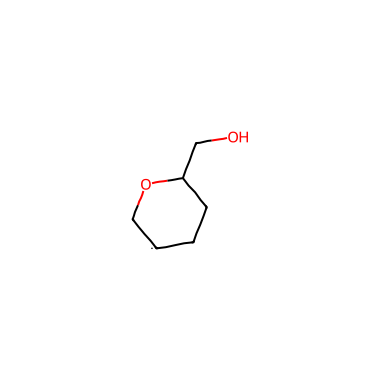 OCC1CC[CH]CO1